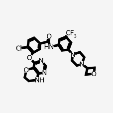 O=C(Nc1cc(N2CCN(C3COC3)CC2)cc(C(F)(F)F)c1)c1ccc(Cl)c(Oc2ncnc3c2OCCN3)c1